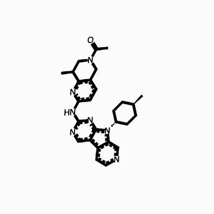 CC(=O)N1Cc2ccc(Nc3ncc4c5ccncc5n([C@H]5CC[C@H](C)CC5)c4n3)nc2C(C)C1